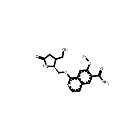 CC(C)Oc1cc2c(OC[C@H]3NC(=O)CC3CO)nccc2cc1C(N)=O